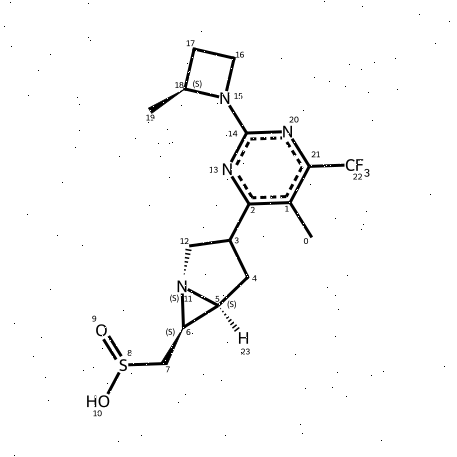 Cc1c(C2C[C@H]3[C@@H](CS(=O)O)[N@]3C2)nc(N2CC[C@@H]2C)nc1C(F)(F)F